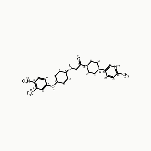 O=C(COC1CCC(Oc2ccc([N+](=O)[O-])c(C(F)(F)F)c2)CC1)N1CCN(c2ccc(C(F)(F)F)nc2)CC1